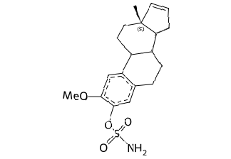 COc1cc2c(cc1OS(N)(=O)=O)CCC1C2CC[C@]2(C)C=CCC12